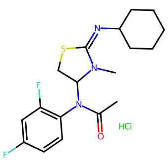 CC(=O)N(c1ccc(F)cc1F)C1CSC(=NC2CCCCC2)N1C.Cl